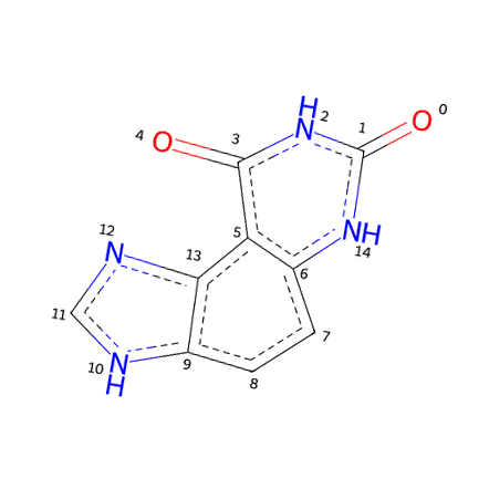 O=c1[nH]c(=O)c2c(ccc3[nH]cnc32)[nH]1